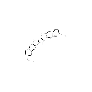 CCCCCCc1ccc2cc3sc4c(sc5c6cc7cc(C)ccc7cc6sc54)c3cc2c1